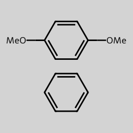 COc1ccc(OC)cc1.c1ccccc1